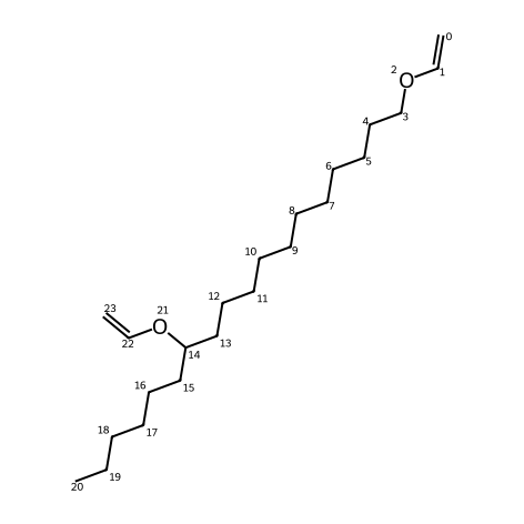 C=COCCCCCCCCCCCC(CCCCCC)OC=C